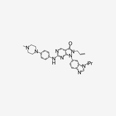 C=CCn1c(=O)c2cnc(Nc3ccc(N4CCN(C)CC4)cc3)nc2n1-c1ccc2ncn(C(C)C)c2c1